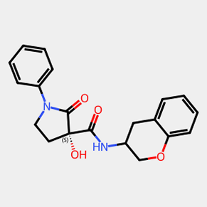 O=C(NC1COc2ccccc2C1)[C@@]1(O)CCN(c2ccccc2)C1=O